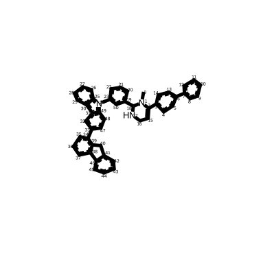 CN1C(c2ccc(-c3ccccc3)cc2)=CCNC1c1cccc(-n2c3ccccc3c3cc(-c4cccc5c4Cc4ccccc4-5)ccc32)c1